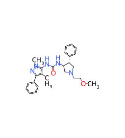 COCCN1C[C@@H](NC(=O)Nc2c(C)c(-c3ccccc3)nn2C)[C@H](c2ccccc2)C1